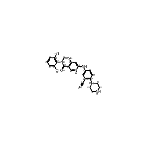 N#Cc1cc(Nc2cc3c(cn2)C(=O)N(c2c(Cl)cccc2Cl)CS3)ccc1N1CCNCC1